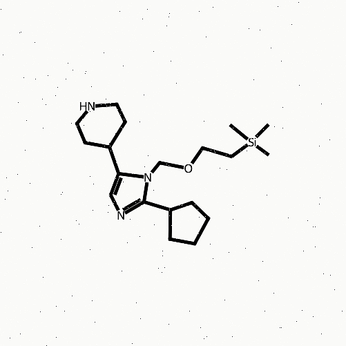 C[Si](C)(C)CCOCn1c(C2CCNCC2)cnc1C1CCCC1